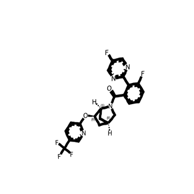 O=C(c1cccc(F)c1-c1ncc(F)cn1)N1C[C@H]2C[C@@H](Oc3ccc(C(F)(F)F)cn3)[C@@H]1C2